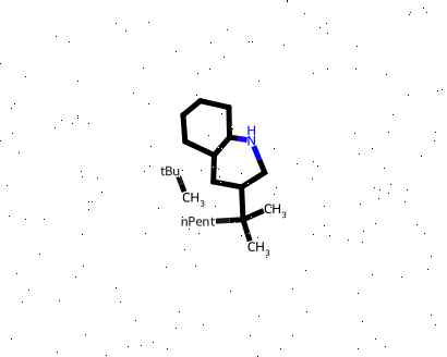 CC(C)(C)C.CCCCCC(C)(C)C1CNC2CCCCC2C1